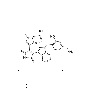 Cl.Cn1cc(C2=C(c3cn(Cc4ccc(CN)cc4O)c4ccccc34)C(=O)NC2=O)c2ccccc21